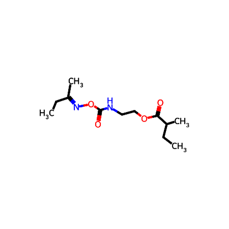 CCC(C)=NOC(=O)NCCOC(=O)C(C)CC